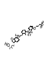 CCc1nc2c(OCCCS(C)(=O)=O)cccc2n1-c1cccc(CNc2ccc3c(c2)OC[C@H]3CC(=O)O)c1C